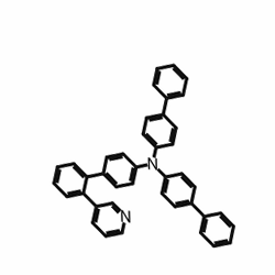 c1ccc(-c2ccc(N(c3ccc(-c4ccccc4)cc3)c3ccc(-c4ccccc4-c4cccnc4)cc3)cc2)cc1